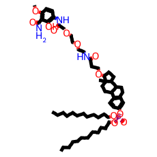 CCCCCCCCCCCCOP(=O)(OCCCCCCCCCCCC)Oc1ccc2c(c1)CCC1C2CCC2(C)C(OCCC(=O)NCCOCCOCC(=O)Nc3ccc(OC)c(C(N)=O)c3O)CCC12